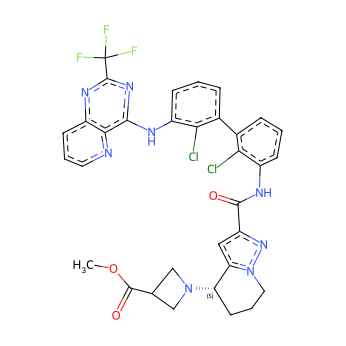 COC(=O)C1CN([C@H]2CCCn3nc(C(=O)Nc4cccc(-c5cccc(Nc6nc(C(F)(F)F)nc7cccnc67)c5Cl)c4Cl)cc32)C1